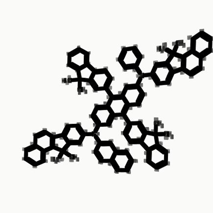 CC1(C)c2ccccc2-c2ccc(-c3c4ccc(N(c5ccc6c(c5)C(C)(C)c5c-6ccc6ccccc56)c5ccc6ccccc6c5)cc4c(-c4ccc5c(c4)C(C)(C)c4ccccc4-5)c4ccc(N(c5ccccc5)c5ccc6c(c5)C(C)(C)c5c-6ccc6ccccc56)cc34)cc21